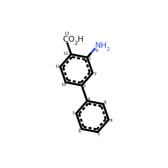 Nc1cc(-c2c[c]ccc2)ccc1C(=O)O